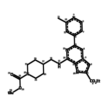 CCOC(=O)c1cn2cc(-c3ccnc(C)c3)nc(NCC3CCN(C(=O)OC(C)(C)C)CC3)c2n1